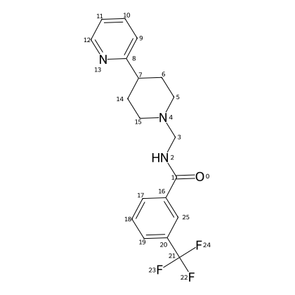 O=C(NCN1CCC(c2ccccn2)CC1)c1cccc(C(F)(F)F)c1